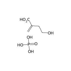 C=C(CCO)C(=O)O.O=P(O)(O)O